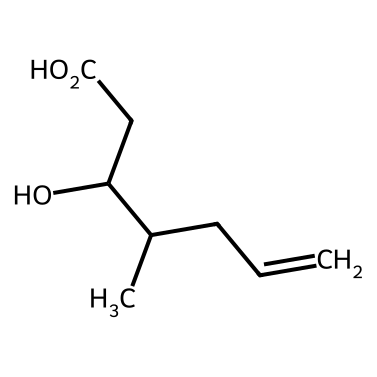 C=CCC(C)C(O)CC(=O)O